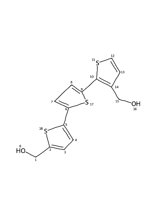 OCc1ccc(-c2ccc(-c3sccc3CO)s2)s1